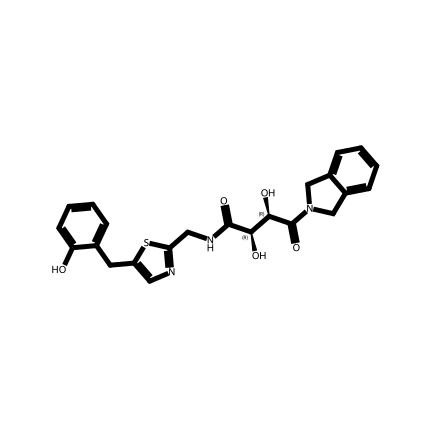 O=C(NCc1ncc(Cc2ccccc2O)s1)[C@H](O)[C@@H](O)C(=O)N1Cc2ccccc2C1